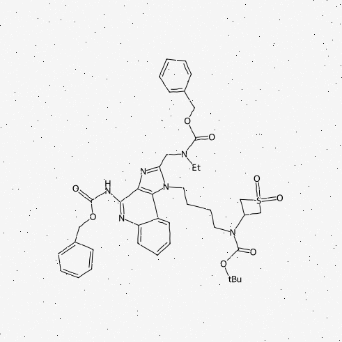 CCN(Cc1nc2c(NC(=O)OCc3ccccc3)nc3ccccc3c2n1CCCCN(C(=O)OC(C)(C)C)C1CS(=O)(=O)C1)C(=O)OCc1ccccc1